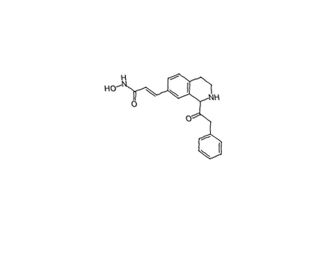 O=C(/C=C/c1ccc2c(c1)C(C(=O)Cc1ccccc1)NCC2)NO